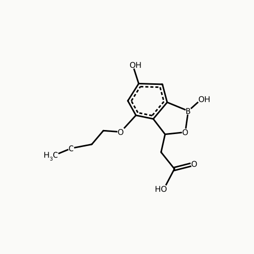 CCCCOc1cc(O)cc2c1C(CC(=O)O)OB2O